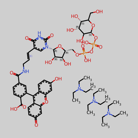 CCN(CC)CC.CCN(CC)CC.CCN(CC)CC.O=C(NC/C=C/c1cn([C@@H]2O[C@H](COP(=O)(O)OP(=O)(O)O[C@@H]3OC(CO)[C@@H](O)[C@@H](O)C3O)[C@@H](O)[C@H]2O)c(=O)[nH]c1=O)c1ccc(C(=O)O)c(-c2c3ccc(=O)cc-3oc3cc(O)ccc23)c1